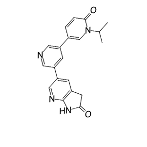 CC(C)n1cc(-c2cncc(-c3cnc4c(c3)CC(=O)N4)c2)ccc1=O